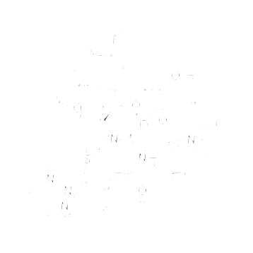 COCCO[C@@H](Cn1c(=O)n(C2CCCN(C(C)C)C2=O)c(=O)c2c(C)c(-n3nccn3)sc21)c1cc(F)ccc1OC